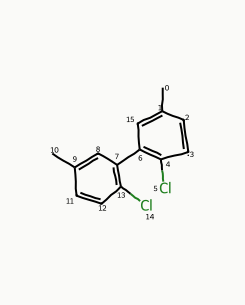 Cc1c[c]c(Cl)c(-c2cc(C)ccc2Cl)c1